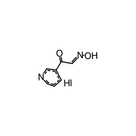 I.O=C(C=NO)c1cccnc1